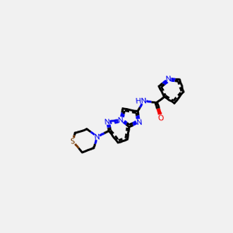 O=C(Nc1cn2nc(N3CCSCC3)ccc2n1)c1cccnc1